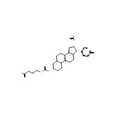 CC(=O)O[C@H]1C[C@]2(O)[C@@H]3CC[C@@H]4C[C@@H](NC(=O)NCCCC(=O)O)CC[C@]4(C)[C@H]3CC[C@]2(C)[C@H]1c1ccc(=O)oc1